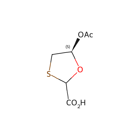 CC(=O)O[C@@H]1CSC(C(=O)O)O1